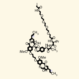 C/C=C/C1=CN2C(=O)c3cc(OC)c(OCCCOc4cc5c(cc4OC)C(=O)N4C=C(/C=C/C)C[C@@]4(O)C=N5)cc3N(C(=O)OCc3ccc(NC(=O)[C@H](C)NC(=O)[C@@H](NC(=O)CCOCCOCCOCCOCCNC(=O)CI)C(C)C)cc3)[C@@H](O)[C@@H]2C1